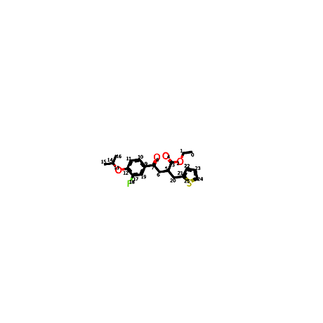 CCOC(=O)C(CC(=O)c1ccc(OC(C)C)c(F)c1)Cc1cccs1